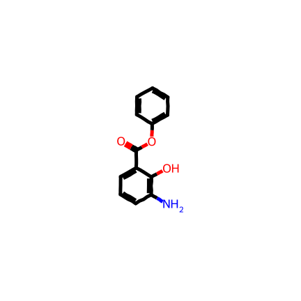 Nc1cccc(C(=O)Oc2ccccc2)c1O